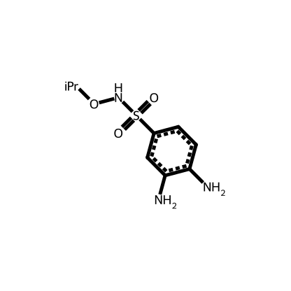 CC(C)ONS(=O)(=O)c1ccc(N)c(N)c1